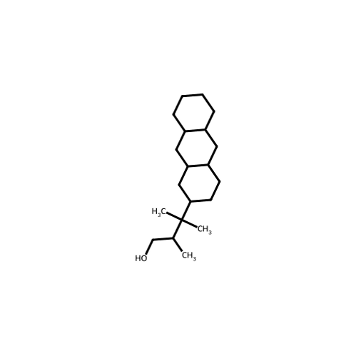 CC(CO)C(C)(C)C1CCC2CC3CCCCC3CC2C1